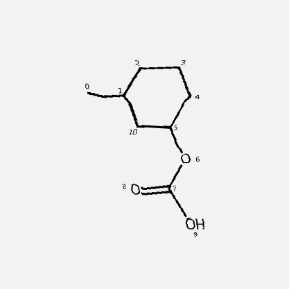 CC1CCCC(OC(=O)O)C1